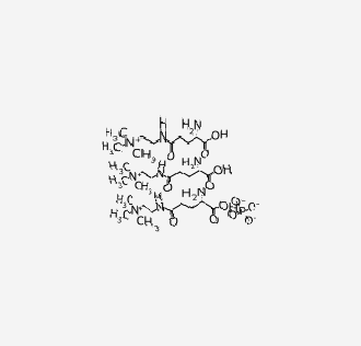 C[N+](C)(C)CCNC(=O)CC[C@H](N)C(=O)O.C[N+](C)(C)CCNC(=O)CC[C@H](N)C(=O)O.C[N+](C)(C)CCNC(=O)CC[C@H](N)C(=O)O.O=P([O-])([O-])[O-]